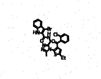 CCc1cc(C(=O)c2ccccc2Cl)c(-n2c(C)nnc2CNC(=O)c2[nH]c3ccccc3c2Br)s1